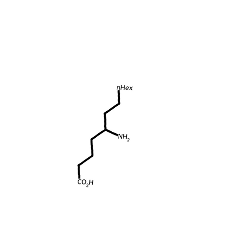 CCCCCCCCC(N)CCCC(=O)O